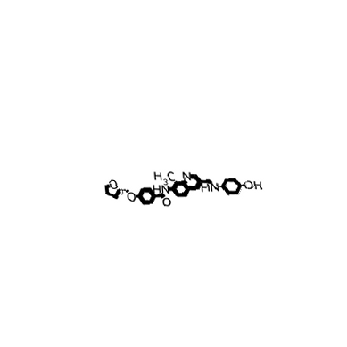 Cc1c(NC(=O)c2ccc(OC[C@@H]3CCCO3)cc2)ccc2cc(CN[C@H]3CC[C@H](O)CC3)cnc12